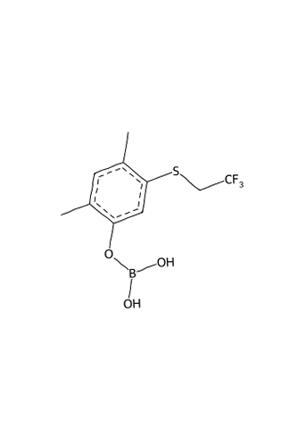 Cc1cc(C)c(SCC(F)(F)F)cc1OB(O)O